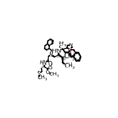 CC[C@H](C)[C@@H](CN(CC(=O)N[C@@H](CCSC)C(=O)OC)Cc1cccc2ccccc12)NC(C)(Cc1ccc2ccccc2c1)c1cnc[nH]1